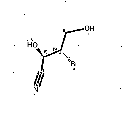 N#C[C@@H](O)[C@@H](Br)CO